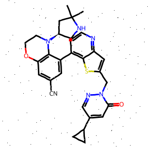 CC1(C)C[C@H](N2CCOc3cc(C#N)cc(-c4ccnc5cc(Cn6ncc(C7CC7)cc6=O)sc45)c32)CN1